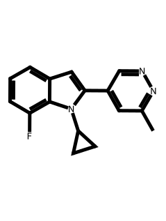 Cc1cc(-c2cc3cccc(F)c3n2C2CC2)cnn1